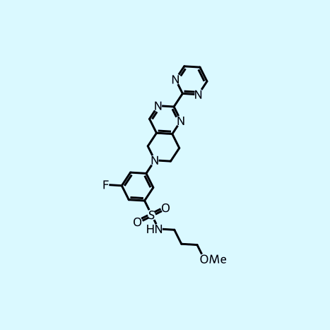 COCCCNS(=O)(=O)c1cc(F)cc(N2CCc3nc(-c4ncccn4)ncc3C2)c1